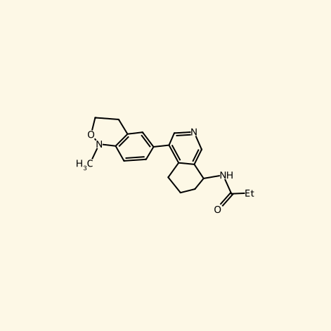 CCC(=O)NC1CCCc2c(-c3ccc4c(c3)CCON4C)cncc21